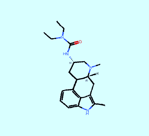 CCN(CC)C(=O)N[C@H]1CC2c3cccc4[nH]c(C)c(c34)C[C@H]2N(C)C1